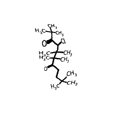 CC(C)(C)CCC(=O)C(C)(C)C(C)(C)C(Cl)C(=O)C(C)(C)C